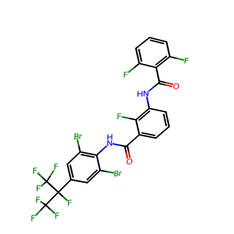 O=C(Nc1c(Br)cc(C(F)(C(F)(F)F)C(F)(F)F)cc1Br)c1cccc(NC(=O)c2c(F)cccc2F)c1F